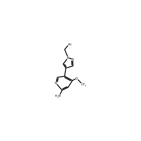 CC(=O)Cn1cc(-c2cnc(N)cc2OC(F)(F)F)cn1